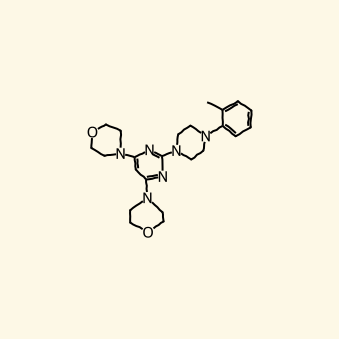 Cc1ccccc1N1CCN(c2nc(N3CCOCC3)cc(N3CCOCC3)n2)CC1